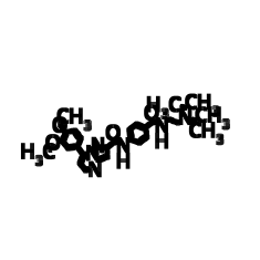 COc1ccc(-c2ccnc3cc(C(=O)Nc4ccc(C(=O)NCCN(C(C)C)C(C)C)cc4)nn23)cc1OC